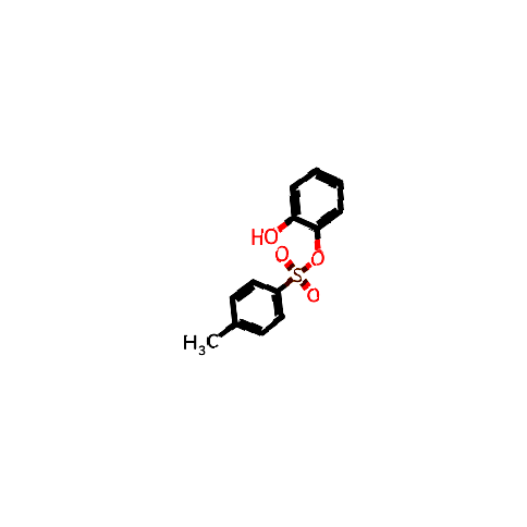 Cc1ccc(S(=O)(=O)Oc2ccccc2O)cc1